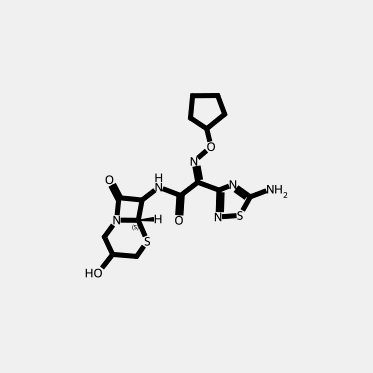 Nc1nc(C(=NOC2CCCC2)C(=O)NC2C(=O)N3CC(O)CS[C@@H]23)ns1